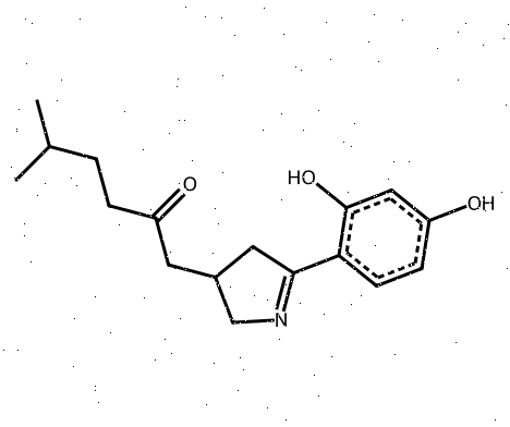 CC(C)CCC(=O)CC1CN=C(c2ccc(O)cc2O)C1